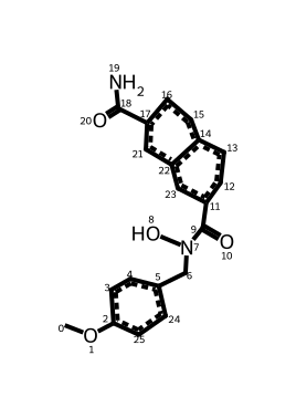 COc1ccc(CN(O)C(=O)c2ccc3ccc(C(N)=O)cc3c2)cc1